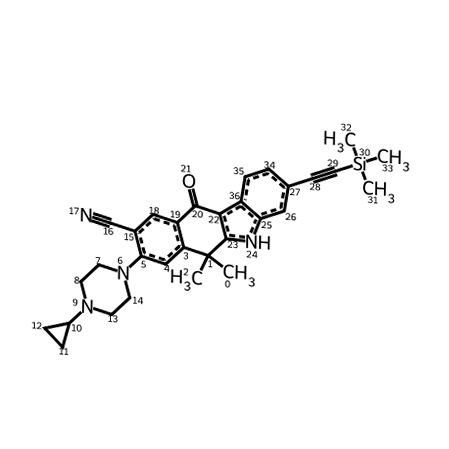 CC1(C)c2cc(N3CCN(C4CC4)CC3)c(C#N)cc2C(=O)c2c1[nH]c1cc(C#C[Si](C)(C)C)ccc21